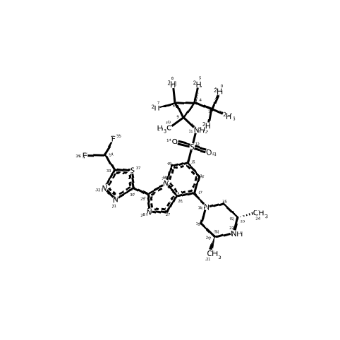 [2H]C([2H])([2H])C1([2H])C([2H])([2H])C1(C)NS(=O)(=O)c1cc(N2C[C@H](C)N[C@@H](C)C2)c2cnc(-c3nnc(C(F)F)s3)n2c1